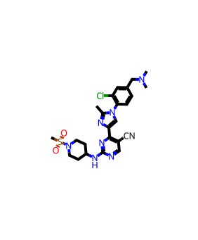 Cc1nc(-c2nc(NC3CCN(S(C)(=O)=O)CC3)ncc2C#N)cn1-c1ccc(CN(C)C)cc1Cl